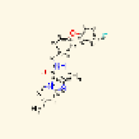 Cc1ccn2c(C(=O)NCc3ccc(Oc4ccc(F)cc4)cc3)c(C)nc2c1